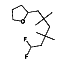 CC(C)(CC(F)F)CC(C)(C)CC1CCCO1